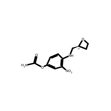 NC(=O)Oc1ccc(NC[C@@H]2CCO2)c([N+](=O)[O-])c1